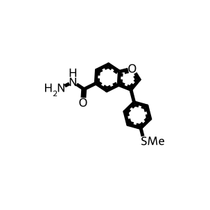 CSc1ccc(-c2coc3ccc(C(=O)NN)cc23)cc1